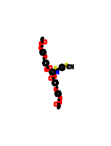 C=CC(=O)OCOc1ccc(OC[C@H]2CC[C@H](C(=O)Oc3ccc(OC(=O)[C@H]4CC[C@H](COc5ccc(OCOC(=O)C=C)cc5)CC4)c4sc(-c5ccc(SC#N)cc5)nc34)CC2)cc1